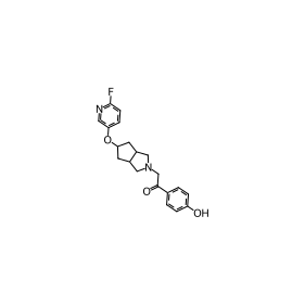 O=C(CN1CC2CC(Oc3ccc(F)nc3)CC2C1)c1ccc(O)cc1